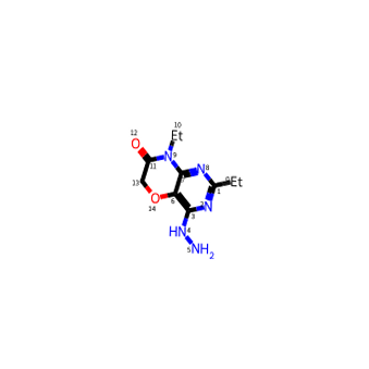 CCc1nc(NN)c2c(n1)N(CC)C(=O)CO2